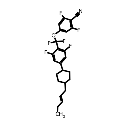 CC/C=C/CC1CCC(c2cc(F)c(C(F)(F)Oc3cc(F)c(C#N)c(F)c3)c(F)c2)CC1